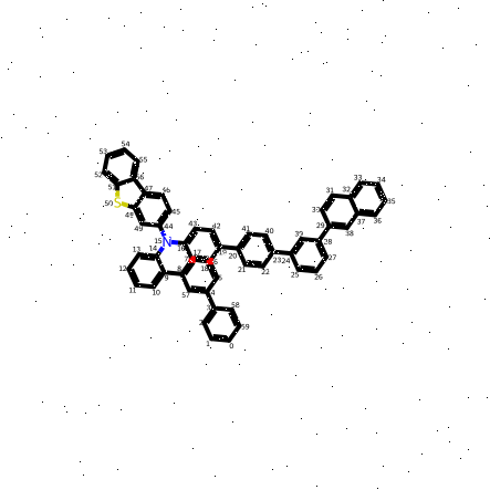 c1ccc(-c2cccc(-c3ccccc3N(c3ccc(-c4ccc(-c5cccc(-c6ccc7ccccc7c6)c5)cc4)cc3)c3ccc4c(c3)sc3ccccc34)c2)cc1